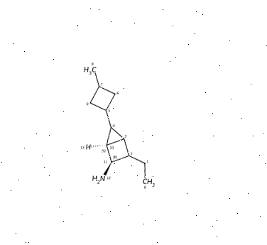 CCC1C2C(C3CC(C)C3)[C@@H]2[C@@H]1N